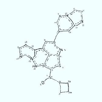 [O-][S+](c1sc2nc(-c3cnn4ccnc4c3)cc3c2c1[nH]n1nccc31)C1CCC1